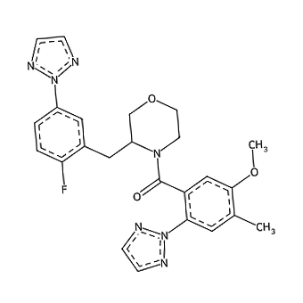 COc1cc(C(=O)N2CCOCC2Cc2cc(-n3nccn3)ccc2F)c(-n2nccn2)cc1C